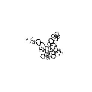 COc1ccc(CC(NC(=O)C2CCCCN2S(=O)(=O)c2cccc(F)c2)C(=O)OC(C)(C)C)cc1.Fc1ccccc1.O=S(=O)(Cl)Cl